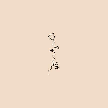 CCCCP(=O)(O)OCCCNC(=O)OCc1ccccc1